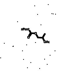 CCCCCC(=O)OCC(C)OC(C)=O